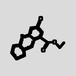 CCOC(=O)c1cc(=O)cc2sc3ccccc3cc1-2